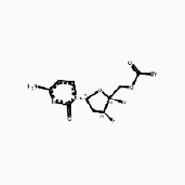 CC(C)C(=O)OC[C@@]1(F)O[C@@H](n2ccc(N)nc2=O)C[C@@H]1F